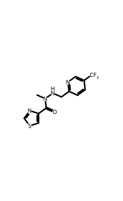 CN(NCc1ccc(C(F)(F)F)cn1)C(=O)c1cscn1